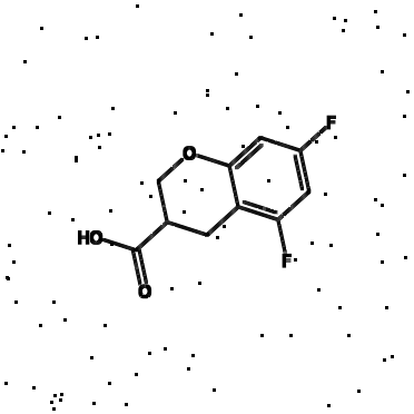 O=C(O)C1COc2cc(F)cc(F)c2C1